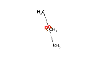 CCC(O)=S.CCCCCCCCCCCCCCCCCCCC(CCCCCCCCCCCCCCCCCC)C(O)=S